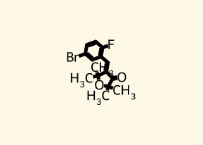 CC1(C)OC(C)(C)/C(=C\c2cc(Br)ccc2F)C1=O